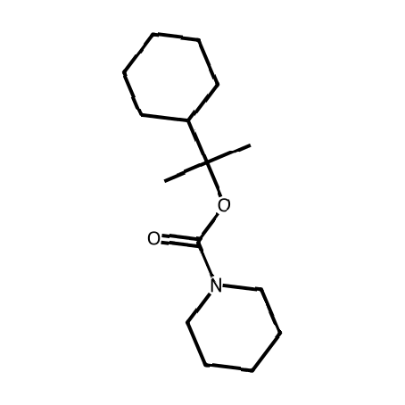 CC(C)(OC(=O)N1CCCCC1)C1CCCCC1